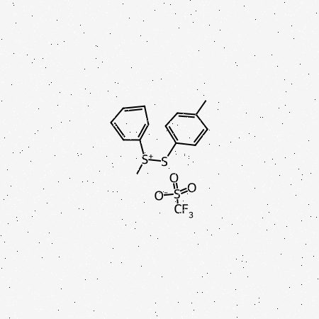 Cc1ccc(S[S+](C)c2ccccc2)cc1.O=S(=O)([O-])C(F)(F)F